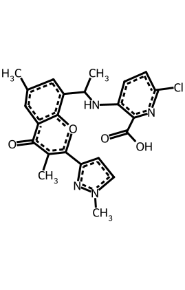 Cc1cc(C(C)Nc2ccc(Cl)nc2C(=O)O)c2oc(-c3ccn(C)n3)c(C)c(=O)c2c1